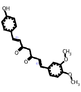 COc1ccc(/C=C/C(=O)CC(=O)/C=C/c2ccc(O)cc2)cc1OC